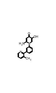 Cc1cccnc1-c1cccc(-n2cc(O)c(=O)cc2N)c1